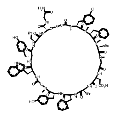 CCCC[C@H]1C(=O)N(C)CC(=O)N[C@@H](CC(=O)O)C(=O)N[C@@H](C(C)C)C(=O)N(C)[C@@H](Cc2ccccc2)C(=O)N[C@@H](Cc2ccc(O)cc2)C(=O)N(C)CC(=O)N[C@@H](Cc2c[nH]c3ccccc23)C(=O)N[C@H](Cc2ccc(O)cc2)C(=O)N[C@@H](CC(C)C)C(=O)N[C@H](C(=O)NCC(N)=O)CSCC(=O)N[C@@H](Cc2cccc(Cl)c2)C(=O)N(C)[C@@H](Cc2ccccc2)C(=O)N1C